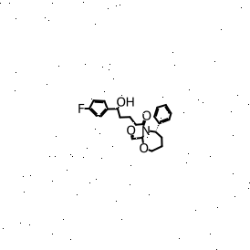 O=CC1OCCC[C@@H](c2ccccc2)N1C(=O)CCC[C@H](O)c1ccc(F)cc1